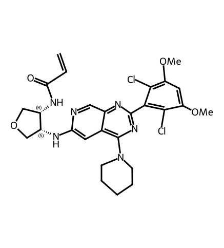 C=CC(=O)N[C@H]1COC[C@H]1Nc1cc2c(N3CCCCC3)nc(-c3c(Cl)c(OC)cc(OC)c3Cl)nc2cn1